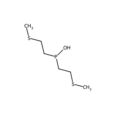 CSCCP(O)CCSC